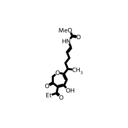 CCC(=O)C1=C(O)C=C(C(C)CC/C=C/NC(=O)OC)OCC1=O